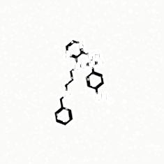 Cc1ccc(S(=O)(=O)Nc2nccnc2OCCCOCc2ccccc2)cc1